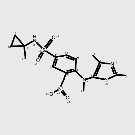 Cc1nc(C)c(N(C)c2ccc(S(=O)(=O)NC3(C)CC3)cc2[N+](=O)[O-])s1